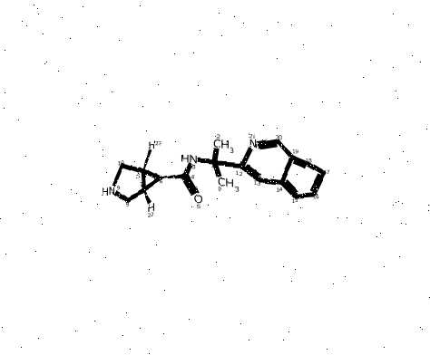 CC(C)(NC(=O)[C@H]1[C@@H]2CNC[C@@H]21)c1cc2ccccc2cn1